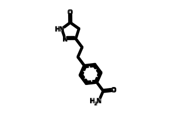 NC(=O)c1ccc(CCC2=NNC(=O)C2)cc1